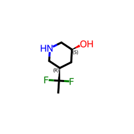 CC(F)(F)[C@H]1CNC[C@@H](O)C1